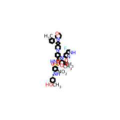 Cc1ccccc1[C@@H]1COCCCN1C1CC2(CCN(c3ccc(C(=O)NS(=O)(=O)c4ccc(NC[C@H]5CC[C@](C)(O)CC5)c([N+](=O)[O-])c4)c(N4c5cc6c(F)c[nH]c6nc5O[C@@H]5[C@@H]4CCOC5(C)C)c3)CC2)C1